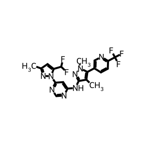 Cc1cc(C(F)F)n(-c2cc(Nc3nn(C)c(-c4ccc(C(F)(F)F)nc4)c3C)ncn2)n1